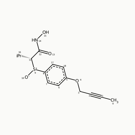 CC#CCOc1ccc([S+]([O-])[C@@H](C(=O)NO)C(C)C)cc1